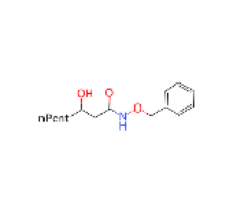 CCCCCC(O)CC(=O)NOCc1ccccc1